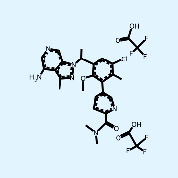 COc1c(C(C)n2nc(C)c3c(N)cncc32)cc(Cl)c(C)c1-c1ccc(C(=O)N(C)C)nc1.O=C(O)C(F)(F)F.O=C(O)C(F)(F)F